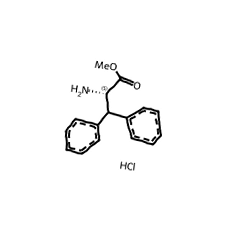 COC(=O)[C@@H](N)C(c1ccccc1)c1ccccc1.Cl